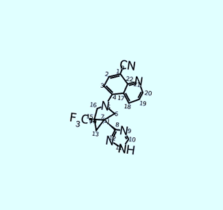 N#Cc1ccc(N2C[C@]3(c4nc[nH]n4)C[C@]3(C(F)(F)F)C2)c2cccnc12